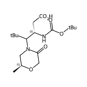 C[C@H]1CN(C([C@H](CC(=O)O)NC(=O)OC(C)(C)C)C(C)(C)C)C(=O)CO1